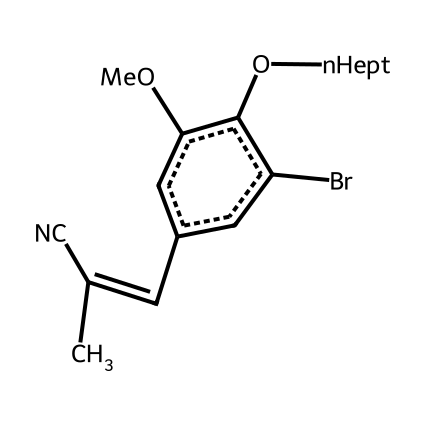 CCCCCCCOc1c(Br)cc(/C=C(/C)C#N)cc1OC